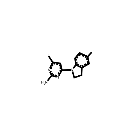 Nc1nc(I)cc(N2CCc3cc(F)ccc32)n1